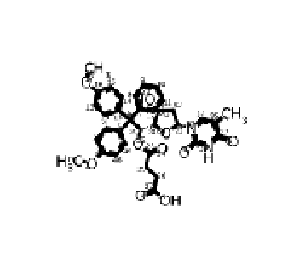 COc1ccc(C(c2ccccc2)(c2ccc(OC)cc2)C(OC(=O)CCC(=O)O)[C@H]2O[C@@H](n3cc(C)c(=O)[nH]c3=O)C[C@@H]2O)cc1